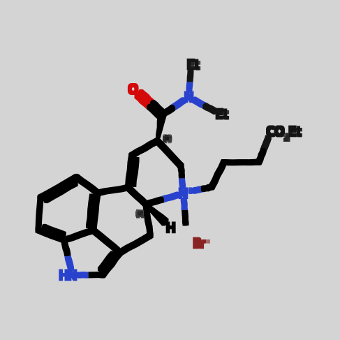 CCOC(=O)CCC[N+]1(C)C[C@H](C(=O)N(CC)CC)C=C2c3cccc4[nH]cc(c34)C[C@H]21.[Br-]